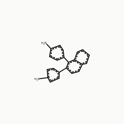 Nc1ccc(-c2ccc3ccccc3c2-c2ccc(N)cc2)cc1